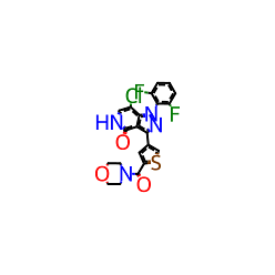 O=C(c1cc(-c2nn(-c3c(F)cccc3F)c3c(Cl)c[nH]c(=O)c23)cs1)N1CCOCC1